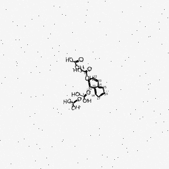 O=C(O)O.O=C(O)O.O=C(O)O.O=C(O)O.c1ccc2ccccc2c1